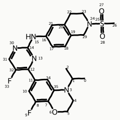 CC(C)N1CCOc2c(F)cc(-c3nc(Nc4ccc5c(c4)CCN(S(C)(=O)=O)C5)ncc3F)cc21